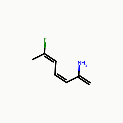 C=C(N)/C=C\C=C(/C)F